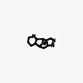 c1cnc2c3[nH]c(cc4nncc3-4)c2c1